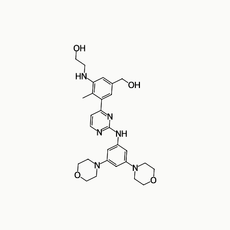 Cc1c(NCCO)cc(CO)cc1-c1ccnc(Nc2cc(N3CCOCC3)cc(N3CCOCC3)c2)n1